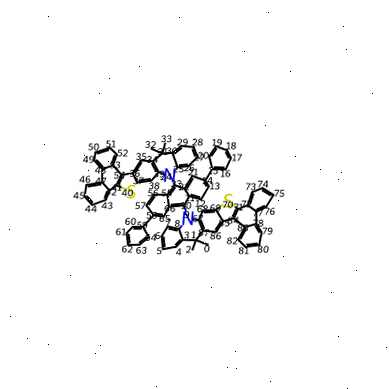 CC1(C)c2ccccc2N(c2c3ccc(-c4ccccc4)cc3c(N3c4ccccc4C(C)(C)c4cc5c(cc43)sc3c4ccccc4c4ccccc4c53)c3ccc(-c4ccccc4)cc23)c2cc3sc4c5ccccc5c5ccccc5c4c3cc21